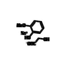 COc1ccccc1O.O=C([O-])CO.[Na+]